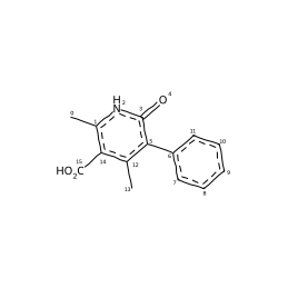 Cc1[nH]c(=O)c(-c2ccccc2)c(C)c1C(=O)O